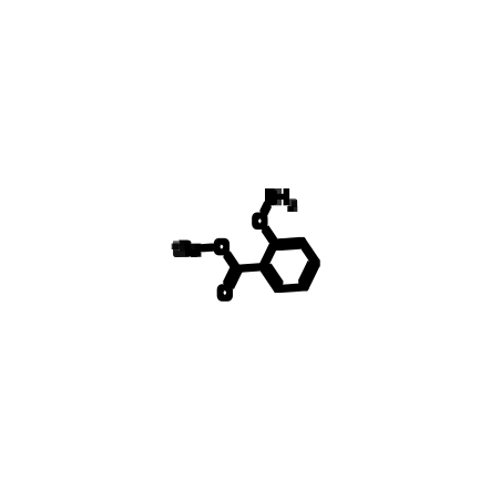 BOc1ccccc1C(=O)OC(C)(C)C